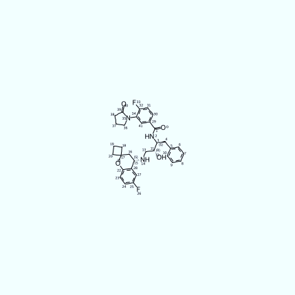 O=C(N[C@@H](Cc1ccccc1)[C@H](O)CN[C@H]1CC2(CCC2)Oc2ccc(F)cc21)c1ccc(F)c(N2CCCC2=O)c1